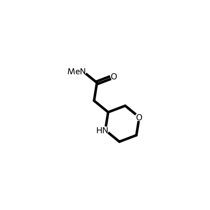 CNC(=O)CC1COCCN1